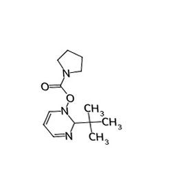 CC(C)(C)C1N=CC=CN1OC(=O)N1CCCC1